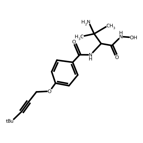 CC(C)(C)C#CCOc1ccc(C(=O)NC(C(=O)NO)C(C)(C)N)cc1